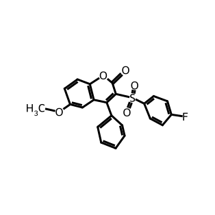 COc1ccc2oc(=O)c(S(=O)(=O)c3ccc(F)cc3)c(-c3ccccc3)c2c1